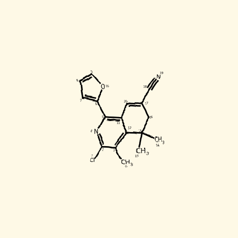 Cc1c(Cl)nc(-c2ccco2)c2c1C(C)(C)CC(C#N)=C2